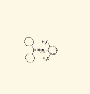 CN(C1CCCCC1)C1CCCCC1.Cc1cccc(C)c1N